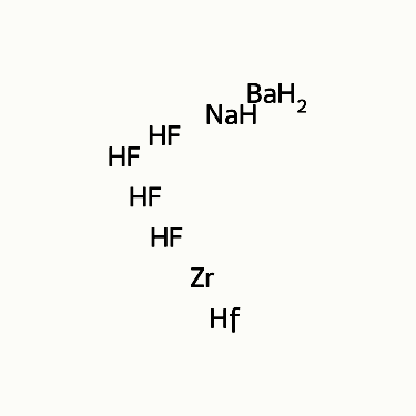 F.F.F.F.[BaH2].[Hf].[NaH].[Zr]